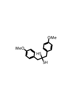 COc1ccc(CC(S)(S)Cc2ccc(OC)cc2)cc1